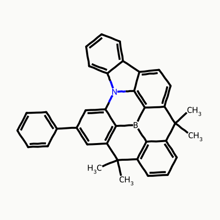 CC1(C)c2cc(-c3ccccc3)cc3c2B2c4c1cccc4C(C)(C)c1ccc4c5ccccc5n-3c4c12